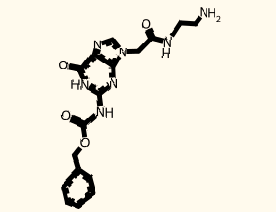 NCCNC(=O)Cn1cnc2c(=O)[nH]c(NC(=O)OCc3ccccc3)nc21